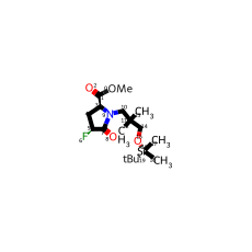 COC(=O)[C@@H]1C[C@@H](F)C(=O)N1CC(C)(C)CO[Si](C)(C)C(C)(C)C